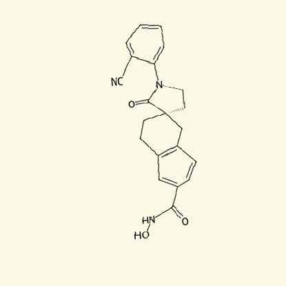 N#Cc1ccccc1N1CC[C@]2(CCc3cc(C(=O)NO)ccc3C2)C1=O